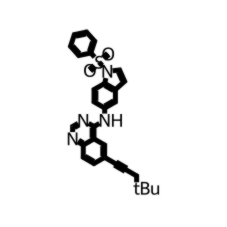 CC(C)(C)CC#Cc1ccc2ncnc(Nc3ccc4c(ccn4S(=O)(=O)c4ccccc4)c3)c2c1